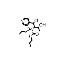 CCCOC(=O)N(OCCC)C(C(C)O)C(Cl)c1ccncc1